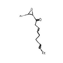 CC/C=C/CC/C=C/CC(=O)C1OC1C(C)=O